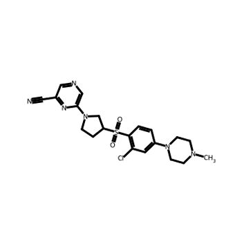 CN1CCN(c2ccc(S(=O)(=O)C3CCN(c4cncc(C#N)n4)C3)c(Cl)c2)CC1